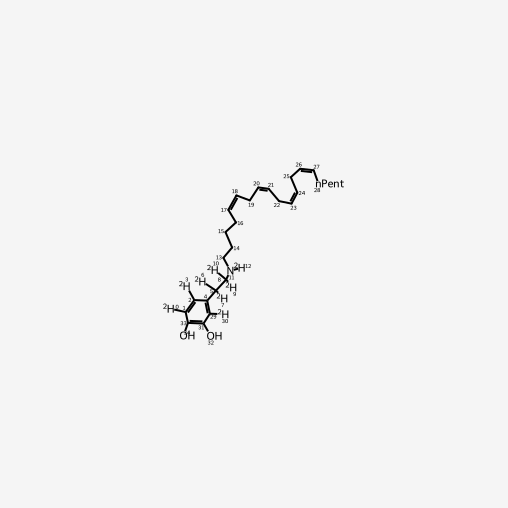 [2H]c1c([2H])c(C([2H])([2H])C([2H])([2H])N([2H])CCCC/C=C\C/C=C\C/C=C\C/C=C\CCCCC)c([2H])c(O)c1O